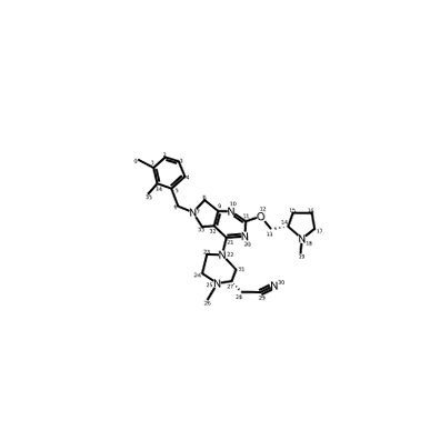 Cc1cccc(CN2Cc3nc(OC[C@@H]4CCCN4C)nc(N4CCN(C)[C@@H](CC#N)C4)c3C2)c1C